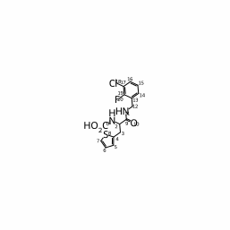 O=C(O)NC(Cc1cccs1)C(=O)NCc1cccc(Cl)c1F